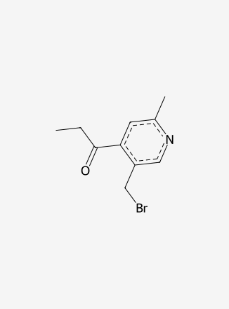 CCC(=O)c1cc(C)ncc1CBr